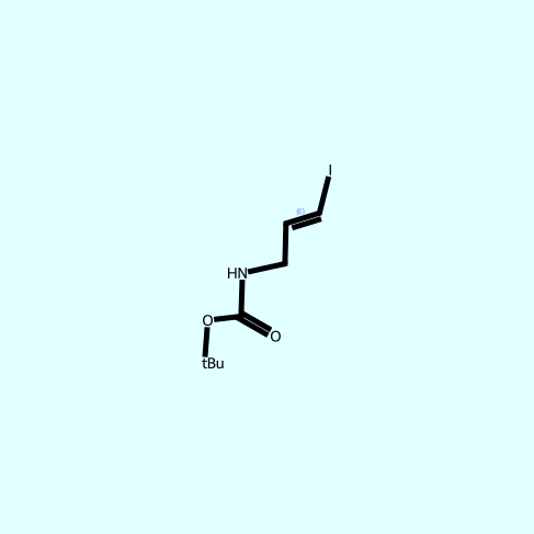 CC(C)(C)OC(=O)NC/C=C/I